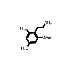 COc1cc(C)cc(C)c1CCN